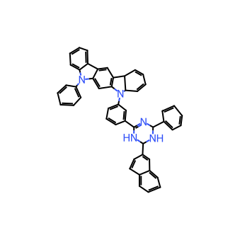 C1=CC2c3cc4c5ccccc5n(-c5ccccc5)c4cc3N(c3cccc(C4=NC(c5ccccc5)NC(c5ccc6ccccc6c5)N4)c3)C2C=C1